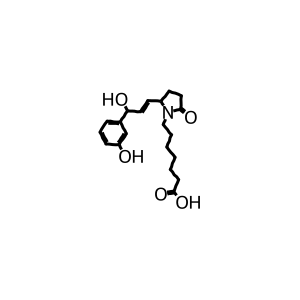 O=C(O)CCCCCCN1C(=O)CCC1C=CC(O)c1cccc(O)c1